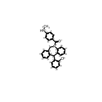 CNc1ccc(C(=O)N2Cc3ccccc3C(c3ccccc3Cl)c3ccccc32)cc1